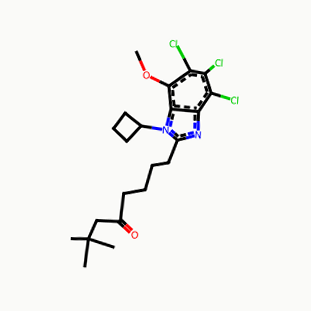 COc1c(Cl)c(Cl)c(Cl)c2nc(CCCCC(=O)CC(C)(C)C)n(C3CCC3)c12